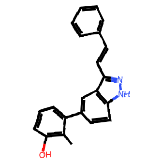 Cc1c(O)cccc1-c1ccc2[nH]nc(/C=C/c3ccccc3)c2c1